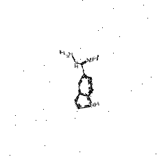 N=C(NN)c1ccc2[nH]ccc2c1